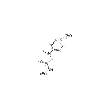 CCCNC(=O)CN(C)c1ccc(C=O)cc1